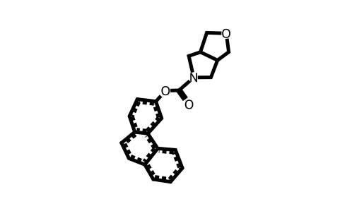 O=C(Oc1ccc2ccc3ccccc3c2c1)N1CC2COCC2C1